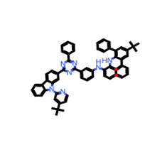 CC(C)(C)c1ccnc(-n2c3ccccc3c3ccc(-c4nc(-c5ccccc5)nc(-c5cccc(Nc6ccccc6Nc6c(-c7ccccc7)cc(C(C)(C)C)cc6-c6ccccc6)c5)n4)cc32)c1